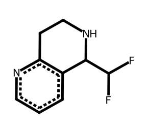 FC(F)C1NCCc2ncccc21